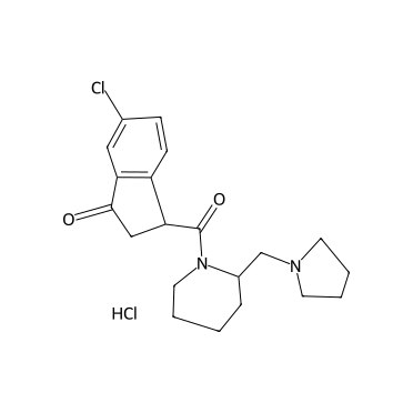 Cl.O=C1CC(C(=O)N2CCCCC2CN2CCCC2)c2ccc(Cl)cc21